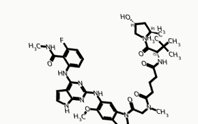 CNC(=O)c1c(F)cccc1Nc1nc(Nc2cc3c(cc2OC)CCN3C(=O)CN(C)C(=O)CCCC(=O)N[C@H](C(=O)N2C[C@H](O)C[C@H]2C)C(C)(C)C)nc2[nH]ccc12